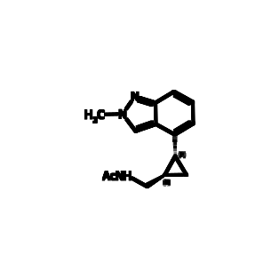 CC(=O)NC[C@@H]1C[C@H]1c1cccc2nn(C)cc12